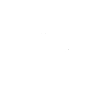 CCOC(=O)CC(CC)(C(=O)OCC)C(=O)C(N)=O